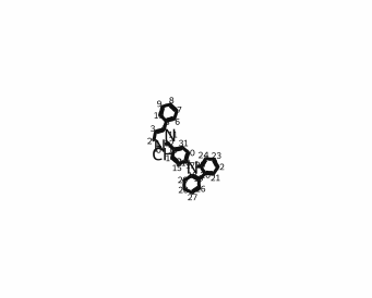 CN1CC=C(c2ccccc2)N=C1c1ccc(-n2c3c(c4ccccc42)C=CCC3)cc1